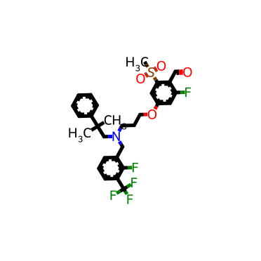 CC(C)(CN(CCCOc1cc(F)c(C=O)c(S(C)(=O)=O)c1)Cc1cccc(C(F)(F)F)c1F)c1ccccc1